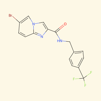 O=C(NCc1ccc(C(F)(F)F)cc1)c1cn2cc(Br)ccc2n1